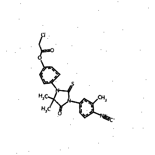 [C-]#[N+]c1ccc(N2C(=O)C(C)(C)N(c3ccc(OC(=O)CCl)cc3)C2=S)cc1C